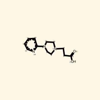 O=C(O)CCN1CCN(c2ccccn2)CC1